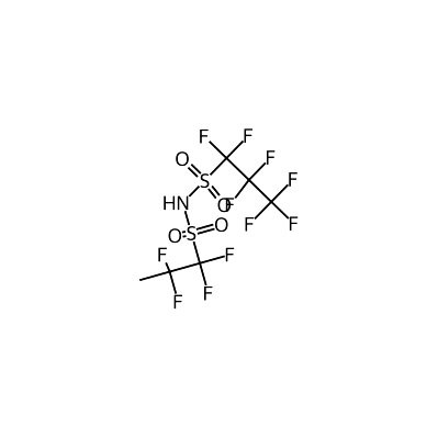 CC(F)(F)C(F)(F)S(=O)(=O)NS(=O)(=O)C(F)(F)C(F)(F)C(F)(F)F